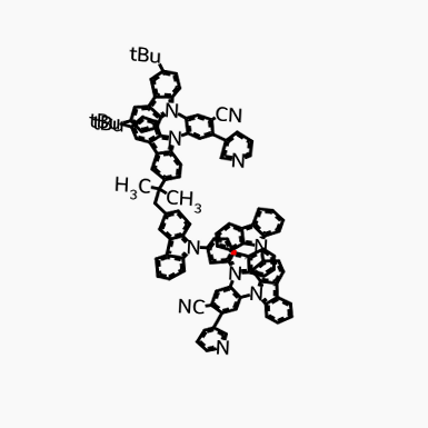 CC(C)(C)c1ccc2c(c1)c1cc(C(C)(C)C)ccc1n2-c1cc(C#N)c(-c2cccnc2)cc1-n1c2ccc(C(C)(C)C)cc2c2cc(C(C)(C)Cc3ccc4c(c3)c3ccccc3n4-c3ccc4c5ccccc5n(-c5cc(C#N)c(-c6cccnc6)cc5-n5c6ccccc6c6ccc(-n7c8ccccc8c8ccccc87)cc65)c4c3)ccc21